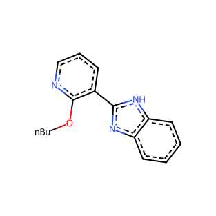 CCCCOc1ncccc1-c1nc2ccccc2[nH]1